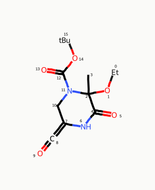 CCOC1(C)C(=O)NC(=C=O)CN1C(=O)OC(C)(C)C